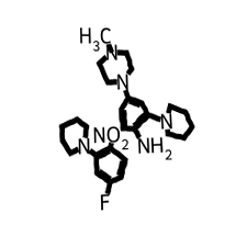 CN1CCN(c2ccc(N)c(N3CCCCC3)c2)CC1.O=[N+]([O-])c1ccc(F)cc1N1CCCCC1